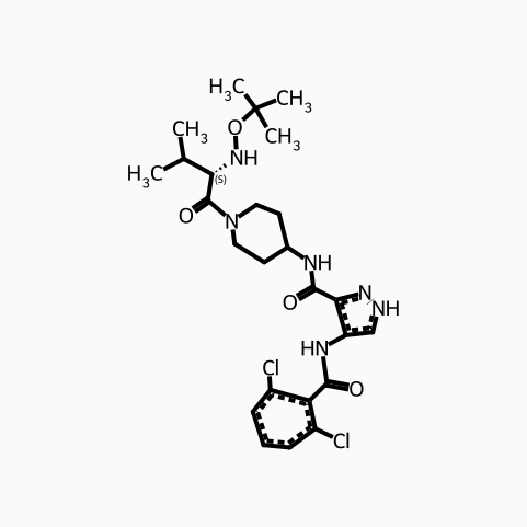 CC(C)[C@H](NOC(C)(C)C)C(=O)N1CCC(NC(=O)c2n[nH]cc2NC(=O)c2c(Cl)cccc2Cl)CC1